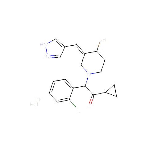 Cl.Cl.O=C(C1CC1)C(c1ccccc1F)N1CCC(S)/C(=C/c2cn[nH]c2)C1